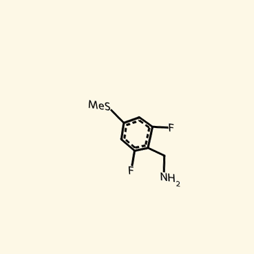 CSc1cc(F)c(CN)c(F)c1